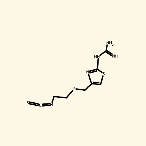 N=C(N)Nc1nc(CSCCN=C=S)cs1